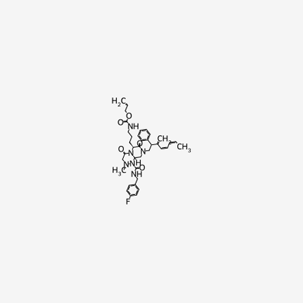 C=CCOC(=O)NCCC[C@H]1C(=O)N(CC(C(=C)/C=C\C=C/C)c2ccccc2)C[C@H]2N1C(=O)CN(C)N2C(=O)NCc1ccc(F)cc1